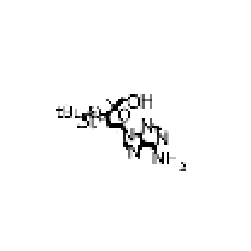 CC(C)(C)[Si](C)(C)O[C@H]1C[C@H](n2cnc3c(N)ncnc32)O[C@]1(C)CO